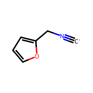 [C-]#[N+]Cc1ccco1